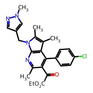 CCOC(=O)C(=O)c1c(C)nc2c(c(C)c(C)n2Cc2cnn(C)c2)c1-c1ccc(Cl)cc1